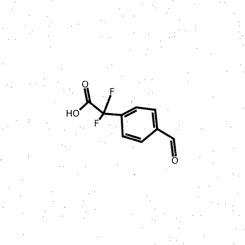 O=Cc1ccc(C(F)(F)C(=O)O)cc1